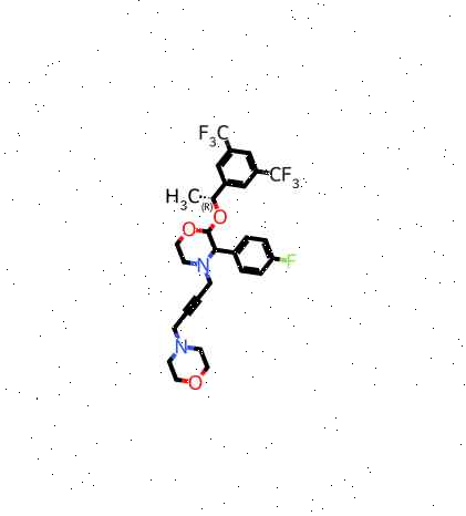 C[C@@H](OC1OCCN(CC#CCN2CCOCC2)C1c1ccc(F)cc1)c1cc(C(F)(F)F)cc(C(F)(F)F)c1